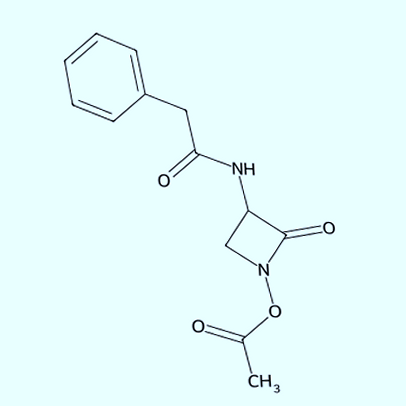 CC(=O)ON1CC(NC(=O)Cc2ccccc2)C1=O